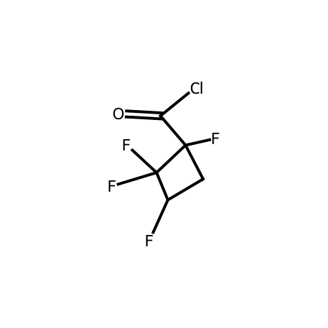 O=C(Cl)C1(F)CC(F)C1(F)F